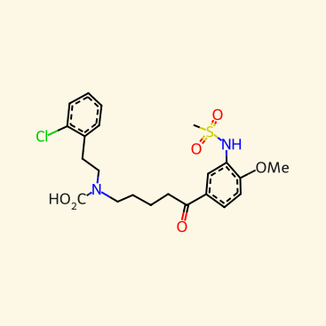 COc1ccc(C(=O)CCCCN(CCc2ccccc2Cl)C(=O)O)cc1NS(C)(=O)=O